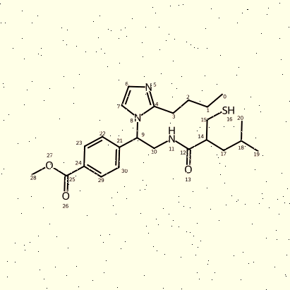 CCCCc1nccn1C(CNC(=O)C(CS)CC(C)C)c1ccc(C(=O)OC)cc1